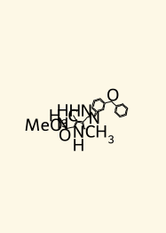 CONC(=O)c1[nH]c(C)c(-c2nc3cc(C(=O)c4ccccc4)ccc3[nH]2)c1C